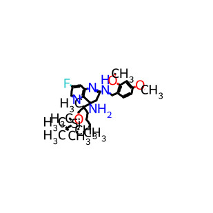 CCCCC(C)(CO[Si](C)(C)C(C)(C)C)C1(N)CC(NCc2ccc(OC)cc2OC)=Nc2cc(F)cnc21